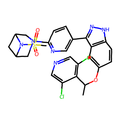 CC(Oc1ccc2[nH]nc(-c3ccc(N4CC5CC(C4)N5S(C)(=O)=O)nc3)c2c1)c1c(Cl)cncc1Cl